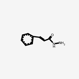 NNC(=O)C=Cc1cc[c]cc1